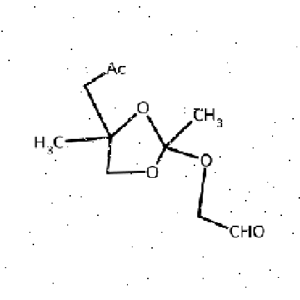 CC(=O)CC1(C)COC(C)(OCC=O)O1